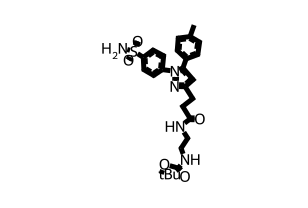 Cc1ccc(-c2cc(CCC(=O)NCCNC(=O)OC(C)(C)C)nn2-c2ccc(S(N)(=O)=O)cc2)cc1